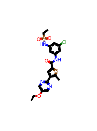 CCOc1cnc(-c2cc(C(=O)Nc3cc(Cl)cc(NS(=O)(=O)CC)c3)sc2C)nc1